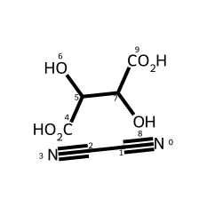 N#CC#N.O=C(O)C(O)C(O)C(=O)O